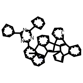 CC/C=C\C1=C2C34C=CC=C3c3ccccc3C3=C4C2(c2ccccc23)c2cccc(-c3c(-c4nc(-c5ccccc5)nc(-c5ccccc5)n4)ccc4ccccc34)c21